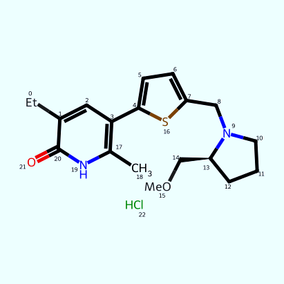 CCc1cc(-c2ccc(CN3CCC[C@H]3COC)s2)c(C)[nH]c1=O.Cl